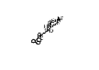 CC(C)(C)OC(=O)N[C@H](CCCCN=[N+]=[N-])C(=O)NCCCCNC(=O)OCC1c2ccccc2-c2ccccc21